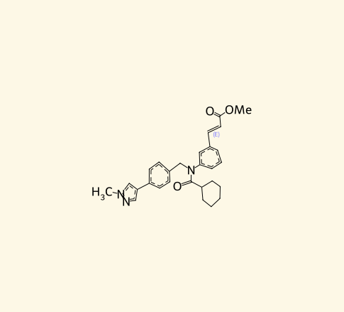 COC(=O)/C=C/c1cccc(N(Cc2ccc(-c3cnn(C)c3)cc2)C(=O)C2CCCCC2)c1